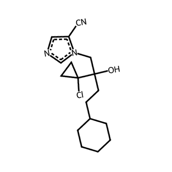 N#Cc1cncn1CC(O)(CCC1CCCCC1)C1(Cl)CC1